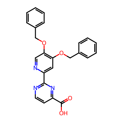 O=C(O)c1ccnc(-c2cc(OCc3ccccc3)c(OCc3ccccc3)cn2)n1